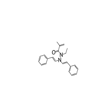 C=C(C)C(=O)N(CC)N(C=Cc1ccccc1)C=Cc1ccccc1